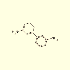 NC1=CCCC(c2cccc(N)c2)=C1